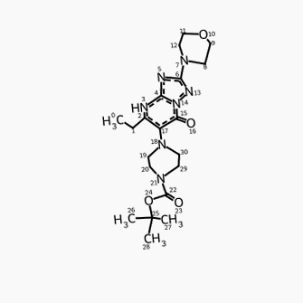 CCc1[nH]c2nc(N3CCOCC3)nn2c(=O)c1N1CCN(C(=O)OC(C)(C)C)CC1